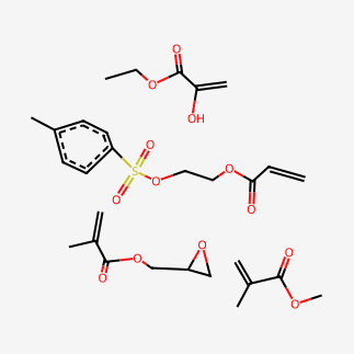 C=C(C)C(=O)OC.C=C(C)C(=O)OCC1CO1.C=C(O)C(=O)OCC.C=CC(=O)OCCOS(=O)(=O)c1ccc(C)cc1